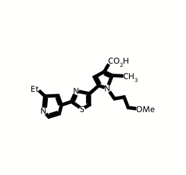 CCc1cc(-c2nc(-c3cc(C(=O)O)c(C)n3CCCOC)cs2)ccn1